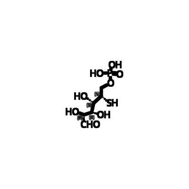 O=C[C@H](O)[C@@H](O)[C@H](O)[C@@H](S)COP(=O)(O)O